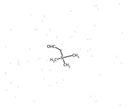 C[Si](C)(C)[C]C=O